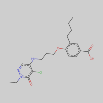 CCCCc1cc(C(=O)O)ccc1OCCCNc1cnn(CC)c(=O)c1Cl